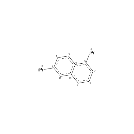 CC(C)c1ccc2c(C(C)C)cccc2c1